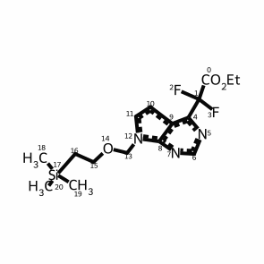 CCOC(=O)C(F)(F)c1ncnc2c1ccn2COCC[Si](C)(C)C